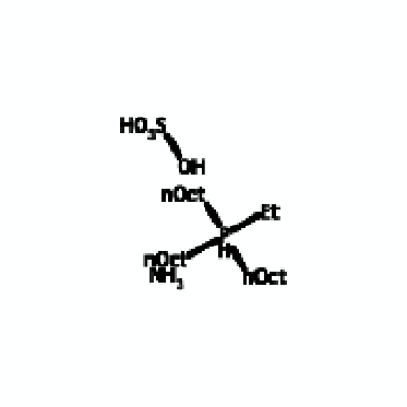 CCCCCCCC[PH](CC)(CCCCCCCC)CCCCCCCC.N.O=S(=O)(O)O